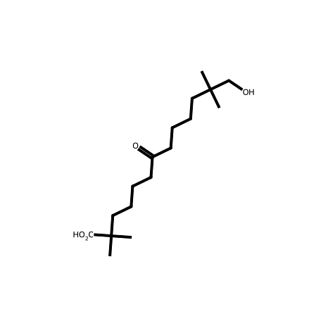 CC(C)(CO)CCCCC(=O)CCCCC(C)(C)C(=O)O